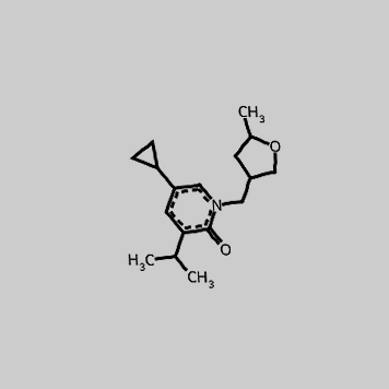 CC1CC(Cn2cc(C3CC3)cc(C(C)C)c2=O)CO1